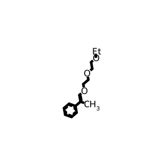 CCOCCOCCOC=C(C)c1ccccc1